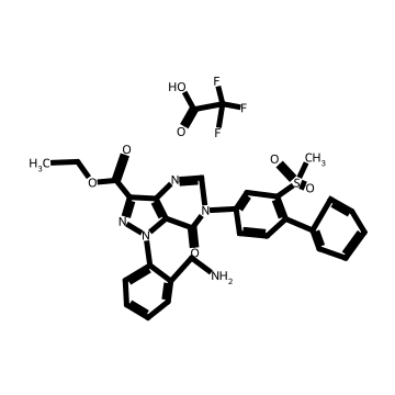 CCOC(=O)c1nn(-c2ccccc2CN)c2c(=O)n(-c3ccc(-c4ccccc4)c(S(C)(=O)=O)c3)cnc12.O=C(O)C(F)(F)F